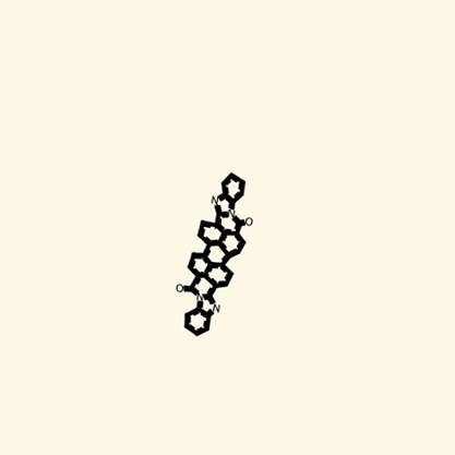 O=c1c2ccc3c4ccc5c6c(ccc(c7ccc(c2c37)c2nc3ccccc3n12)c46)c(=O)n1c2ccccc2nc51